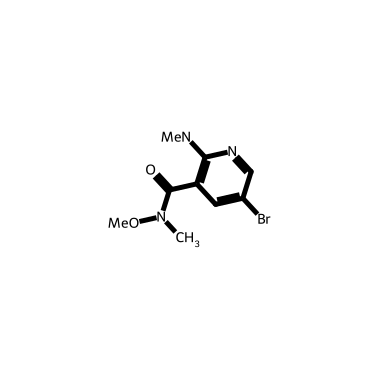 CNc1ncc(Br)cc1C(=O)N(C)OC